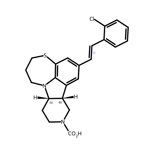 O=C(O)N1CC[C@H]2[C@@H](C1)c1cc(/C=C/c3ccccc3Cl)cc3c1N2CCCS3